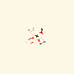 C=CC(=O)OC([Si](O[SiH2]C)(O[SiH2]C)O[SiH2]C)([Si](O[SiH2]C)(O[SiH2]C)O[SiH2]C)[Si](O[SiH2]C)(O[SiH2]C)O[SiH2]C